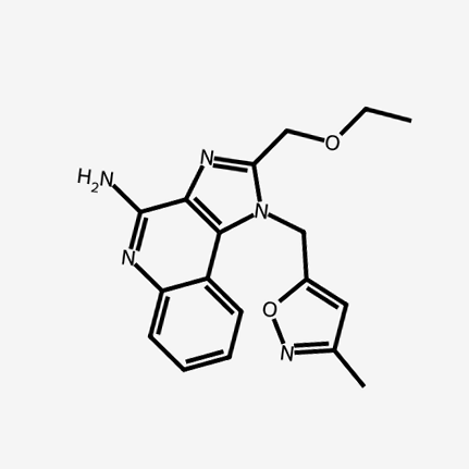 CCOCc1nc2c(N)nc3ccccc3c2n1Cc1cc(C)no1